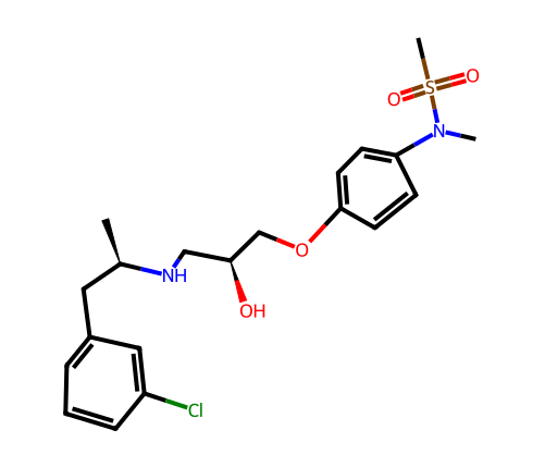 C[C@H](Cc1cccc(Cl)c1)NC[C@H](O)COc1ccc(N(C)S(C)(=O)=O)cc1